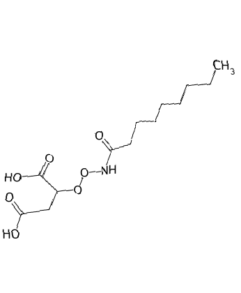 CCCCCCCCC(=O)NOOC(CC(=O)O)C(=O)O